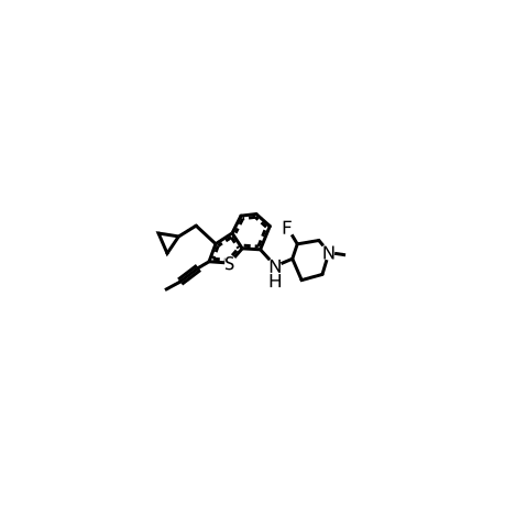 CC#Cc1sc2c(NC3CCN(C)CC3F)cccc2c1CC1CC1